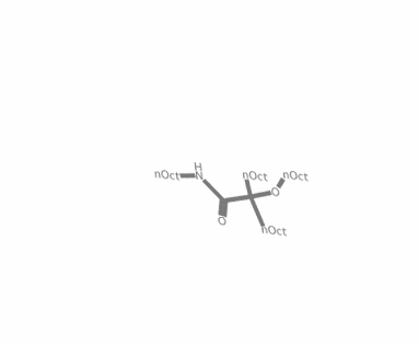 CCCCCCCCNC(=O)C(CCCCCCCC)(CCCCCCCC)OCCCCCCCC